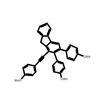 COc1ccc(C#Cc2c3c(cc(-c4ccc(OC)cc4)c2-c2ccc(OC)cc2)-c2ccccc2C3)cc1